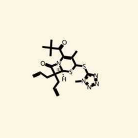 C=CCC1(CC=C)C(=O)N2C(C(=O)C(C)(C)C)=C(C)C(Sc3nnnn3C)S[C@H]21